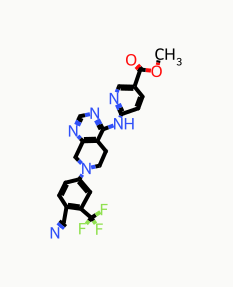 COC(=O)c1ccc(Nc2ncnc3c2CCN(c2ccc(C#N)c(C(F)(F)F)c2)C3)nc1